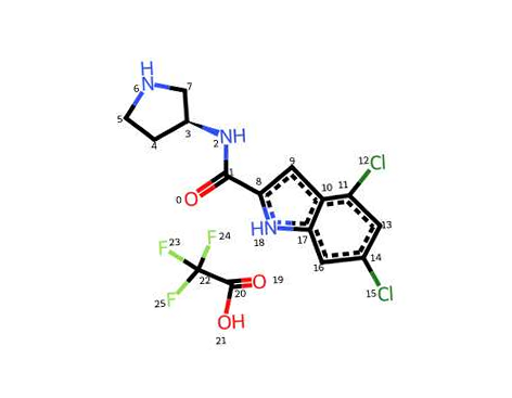 O=C(N[C@H]1CCNC1)c1cc2c(Cl)cc(Cl)cc2[nH]1.O=C(O)C(F)(F)F